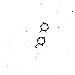 Cc1ccc(Oc2ccc(C(C)(C)O)c(Cl)c2)c(Cl)c1